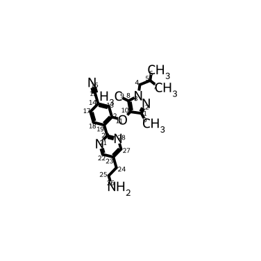 Cc1nn(CC(C)C)c(C)c1Oc1cc(C#N)ccc1-c1ncc(CCN)cn1